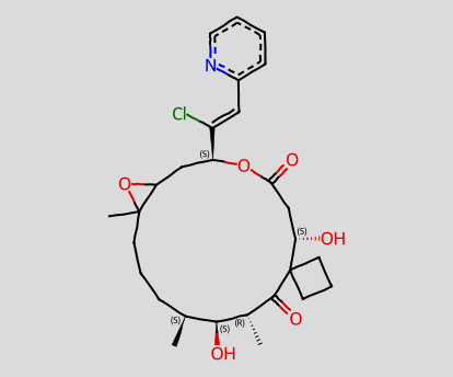 C[C@H]1CCCC2(C)OC2C[C@@H](C(Cl)=Cc2ccccn2)OC(=O)C[C@H](O)C2(CCC2)C(=O)[C@H](C)[C@H]1O